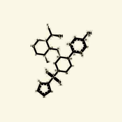 C[C@@H]1COC[C@H]([C@H](O)I)N1C[C@H]1CN(S(=O)(=O)c2cccs2)CCN1c1ncc(O)cn1